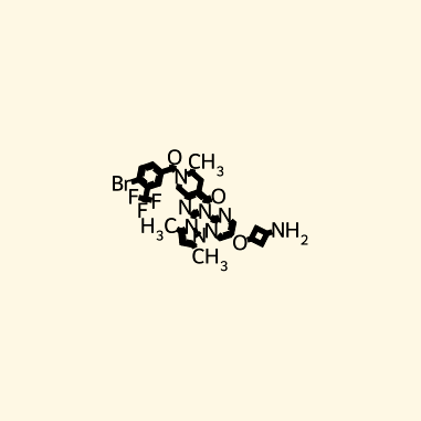 Cc1cc(C)n(-c2nc3c(c(=O)n2-c2ncc(OC4CC(N)C4)cn2)CC(C)N(C(=O)c2ccc(Br)c(C(F)(F)F)c2)C3)n1